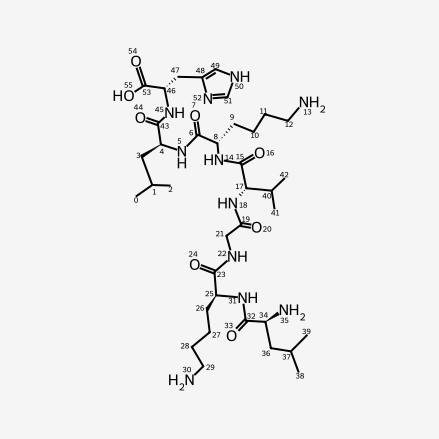 CC(C)C[C@H](NC(=O)[C@H](CCCCN)NC(=O)[C@@H](NC(=O)CNC(=O)[C@H](CCCCN)NC(=O)[C@@H](N)CC(C)C)C(C)C)C(=O)N[C@@H](Cc1c[nH]cn1)C(=O)O